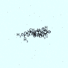 CC(C)OC(=O)CC(C)(C)CO[P@]1(=O)OC[C@H]2O[C@@H](n3ccc(=O)[nH]c3=O)C(C)(C)[C@@H]2O1